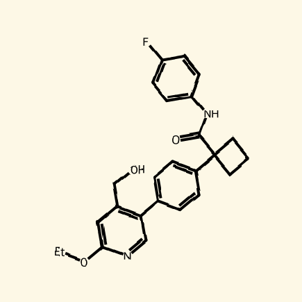 CCOc1cc(CO)c(-c2ccc(C3(C(=O)Nc4ccc(F)cc4)CCC3)cc2)cn1